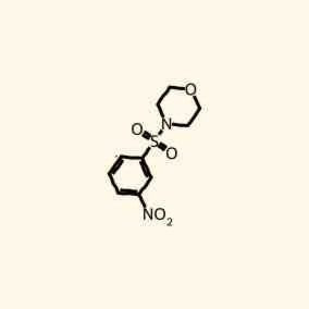 O=[N+]([O-])c1cc[c]c(S(=O)(=O)N2CCOCC2)c1